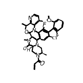 C=CC(=O)N1C[C@@H]2C(=O)N(C)c3c(c4cc(Cl)c(-c5c(F)cccc5OC)c(F)c4n(-c4c(C)ccnc4C(C)C)c3=O)N2C[C@H]1C